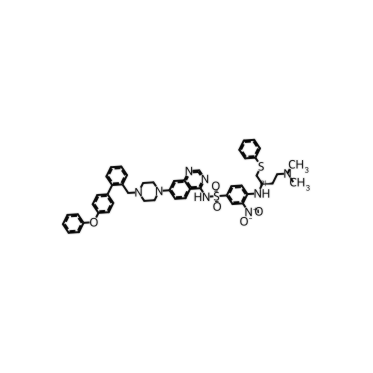 CN(C)CC[C@H](CSc1ccccc1)Nc1ccc(S(=O)(=O)Nc2ncnc3cc(N4CCN(Cc5ccccc5-c5ccc(Oc6ccccc6)cc5)CC4)ccc23)cc1[N+](=O)[O-]